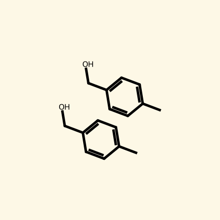 Cc1ccc(CO)cc1.Cc1ccc(CO)cc1